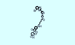 O=C1CCC(N2C(=O)c3ccc(NCCCCCC(=O)N4CC(n5cc(-c6cnc7cccc(Br)c7n6)cn5)C4)cc3C2=O)C(=O)N1